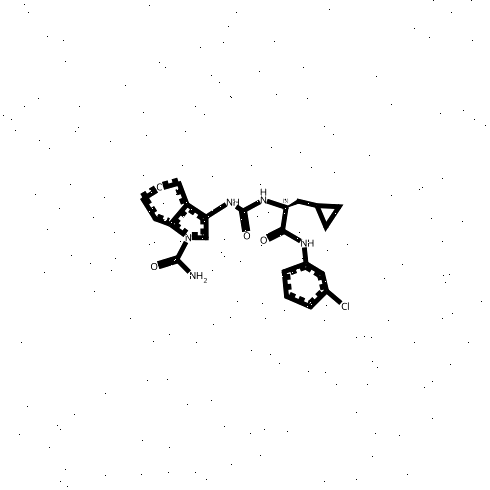 NC(=O)n1cc(NC(=O)N[C@@H](CC2CC2)C(=O)Nc2cccc(Cl)c2)c2ccccc21